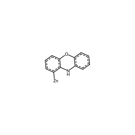 [Zn][c]1cccc2c1Nc1ccccc1O2